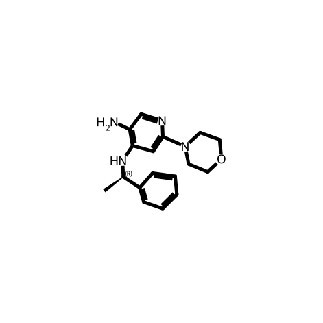 C[C@@H](Nc1cc(N2CCOCC2)ncc1N)c1ccccc1